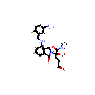 CNC(=O)C(O)(CCC=O)N1Cc2c(NCc3cc(N)ccc3F)cccc2C1=O